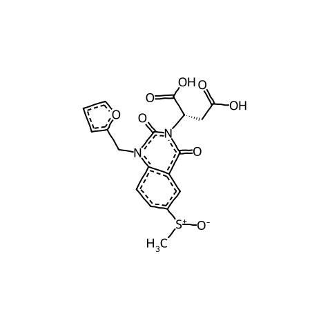 C[S+]([O-])c1ccc2c(c1)c(=O)n([C@@H](CC(=O)O)C(=O)O)c(=O)n2Cc1ccco1